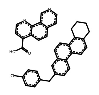 Clc1ccc(Cc2ccc3c(ccc4c5c(ccc43)CCCC5)c2)cc1.O=C(O)c1ccnc2c1ccc1ccncc12